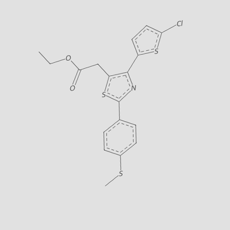 CCOC(=O)Cc1sc(-c2ccc(SC)cc2)nc1-c1ccc(Cl)s1